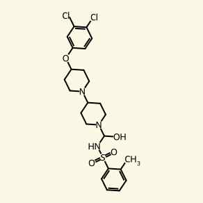 Cc1ccccc1S(=O)(=O)NC(O)N1CCC(N2CCC(Oc3ccc(Cl)c(Cl)c3)CC2)CC1